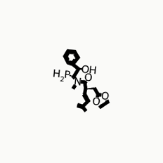 C=C(C)/C=C/[C@H](CC1OCCO1)C(=O)N(C)[C@H](P)[C@H](O)c1ccccc1